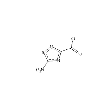 Nc1nc(C(=O)Cl)ns1